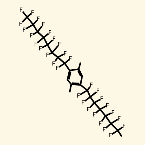 Cc1cc(C(F)(F)C(F)(F)C(F)(F)C(F)(F)C(F)(F)C(F)(F)C(F)(F)C(F)(F)F)c(C)cc1C(F)(F)C(F)(F)C(F)(F)C(F)(F)C(F)(F)C(F)(F)C(C)(F)F